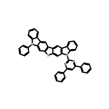 c1ccc(-c2cc(-c3ccccc3)nc(-n3c4ccccc4c4cc5c(cc43)sc3cc4c(cc35)c3ccccc3n4-c3ccccc3)n2)cc1